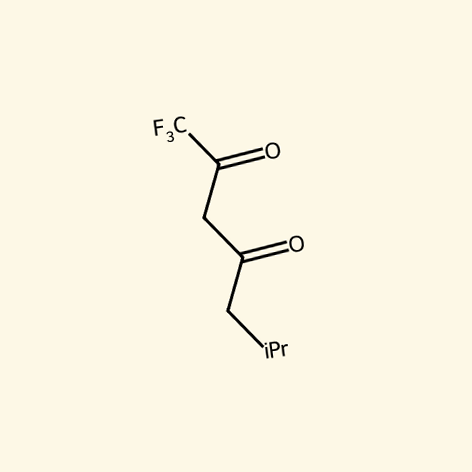 CC(C)CC(=O)CC(=O)C(F)(F)F